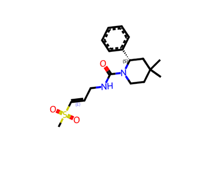 CC1(C)CCN(C(=O)NC/C=C/S(C)(=O)=O)[C@H](c2ccccc2)C1